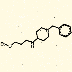 CCOCCCNC1CCN(Cc2ccccc2)CC1